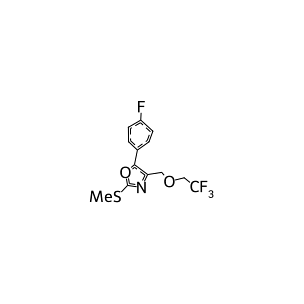 CSc1nc(COCC(F)(F)F)c(-c2ccc(F)cc2)o1